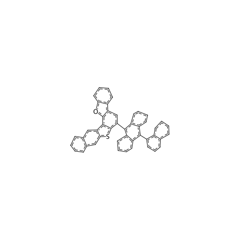 c1ccc2cc3c(cc2c1)sc1c(-c2c4ccccc4c(-c4cccc5ccccc45)c4ccccc24)cc2c4ccccc4oc2c13